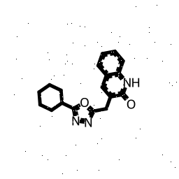 O=c1[nH]c2ccccc2cc1Cc1nnc(C2CCCCC2)o1